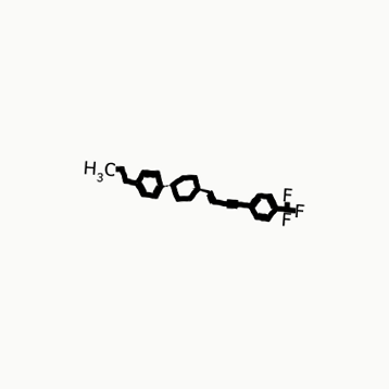 CCCc1ccc([C@H]2CC[C@H](C=CC#Cc3ccc(C(F)(F)F)cc3)CC2)cc1